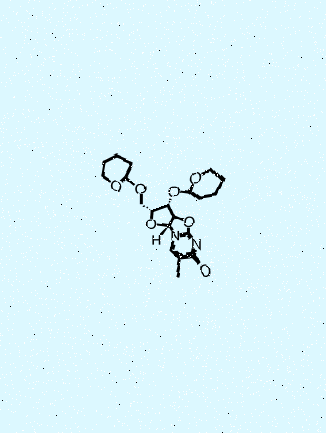 Cc1cn2c(nc1=O)OC1[C@@H](OC3CCCCO3)[C@@H](COC3CCCCO3)O[C@H]12